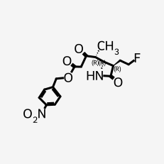 C[C@@H](C(=O)CC(=O)OCc1ccc([N+](=O)[O-])cc1)[C@H]1NC(=O)[C@@H]1CCF